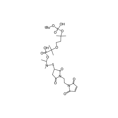 CC(OP(=O)(O)C(C)(C)OCCC(C)(C)OP(=O)(O)OC(C)(C)C)N(C)SC1CC(=O)N(CCN2C(=O)C=CC2=O)C1=O